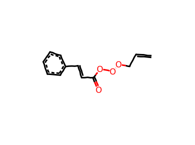 C=CCOOOC(=O)C=Cc1ccccc1